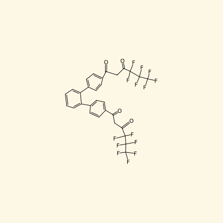 O=C(CC(=O)C(F)(F)C(F)(F)C(F)(F)F)c1ccc(-c2ccccc2-c2ccc(C(=O)CC(=O)C(F)(F)C(F)(F)C(F)(F)F)cc2)cc1